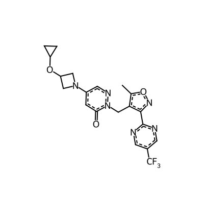 Cc1onc(-c2ncc(C(F)(F)F)cn2)c1Cn1ncc(N2CC(OC3CC3)C2)cc1=O